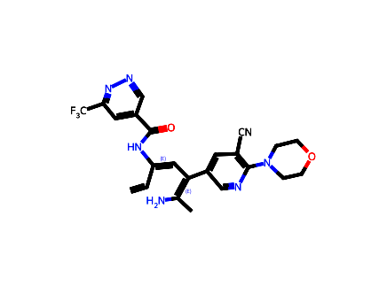 C=C/C(=C\C(=C(\C)N)c1cnc(N2CCOCC2)c(C#N)c1)NC(=O)c1cnnc(C(F)(F)F)c1